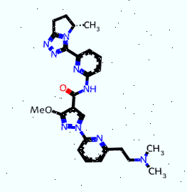 COc1nn(-c2cccc(CCN(C)C)n2)cc1C(=O)Nc1cccc(-c2nnc3n2[C@@H](C)CC3)n1